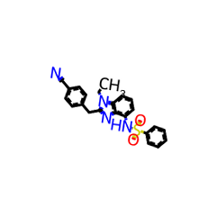 CCn1c(Cc2ccc(C#N)cc2)nc2c(NS(=O)(=O)c3ccccc3)cccc21